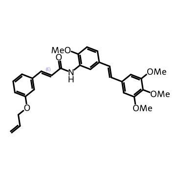 C=CCOc1cccc(/C=C/C(=O)Nc2cc(C=Cc3cc(OC)c(OC)c(OC)c3)ccc2OC)c1